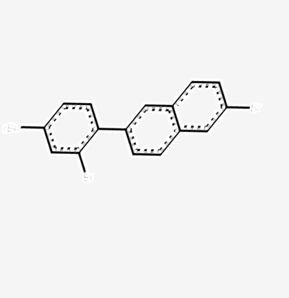 CC(C)(C)c1ccc(-c2ccc3cc(Br)ccc3c2)c(Br)c1